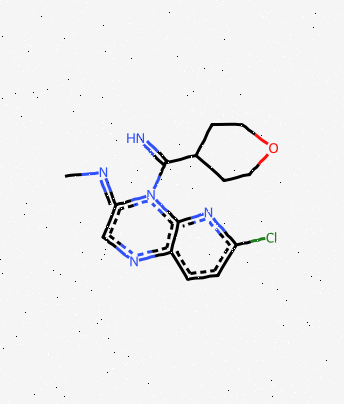 C/N=c1\cnc2ccc(Cl)nc2n1C(=N)C1CCOCC1